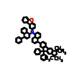 CC1(C)CC(C)(C)c2cc3c(cc21)-c1ccc(-c2cccc4c(N(c5ccc6oc7ccccc7c6c5)c5ccc(-c6ccccc6)c6ccccc56)cccc24)cc1C3(c1ccccc1)c1ccccc1